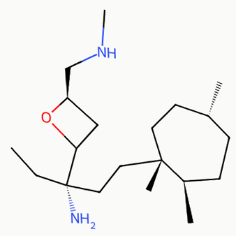 CC[C@](N)(CC[C@]1(C)CC[C@H](C)CC[C@H]1C)C1C[C@H](CNC)O1